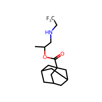 CC(CNCC(F)(F)F)OC(=O)C12CC3CC(CC(C3)C1)C2